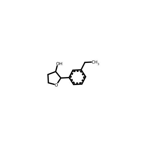 CCc1cccc(C2OCCC2O)c1